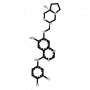 Oc1cc2c(Nc3ccc(Cl)c(Cl)c3)ncnc2cc1OC[C@@H]1CN2CCC[C@@H]2CO1